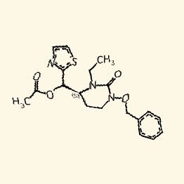 CCN1C(=O)N(OCc2ccccc2)CC[C@H]1C(OC(C)=O)c1nccs1